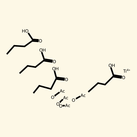 CC(=O)[O-].CC(=O)[O-].CC(=O)[O-].CC(=O)[O-].CCCC(=O)O.CCCC(=O)O.CCCC(=O)O.CCCC(=O)O.[Ti+4]